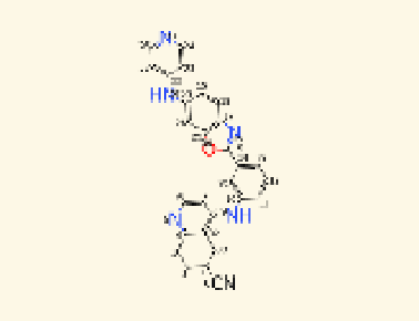 N#CC1CCc2nccc(Nc3cccc(-c4nc5ccc(Nc6ccncc6)cc5o4)c3)c2C1